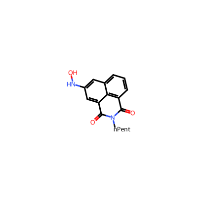 CCCCCN1C(=O)c2cccc3cc(NO)cc(c23)C1=O